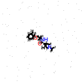 CC(C)N1CC2[C@H](C1)[C@H]2C(=O)NC(C)(C)COC1(C)C=CC=CC1C